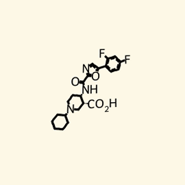 O=C(N[C@@H]1CCN(C2CCCCC2)C[C@H]1C(=O)O)c1ncc(-c2ccc(F)cc2F)o1